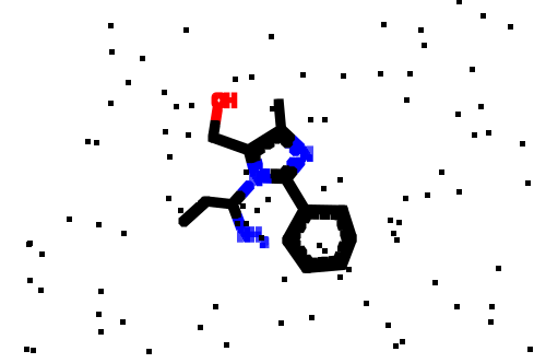 CCC(N)n1c(-c2ccccc2)nc(C)c1CO